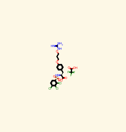 N=C(N)NOCCCOc1ccc(C[C@H](NS(=O)(=O)c2ccc(Cl)c(Cl)c2Cl)C(=O)O)cc1.O=C(O)C(F)(F)F